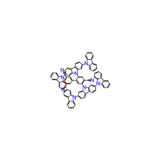 N#Cc1cc(C#N)cc(-c2cc(-n3c4cc(-n5c6ccccc6c6ccccc65)ccc4c4ccc(-n5c6ccccc6c6ccccc65)cc43)c(C#N)cc2-n2c3cc(-n4c5ccccc5c5ccccc54)ccc3c3ccc(-n4c5ccccc5c5ccccc54)cc32)c1